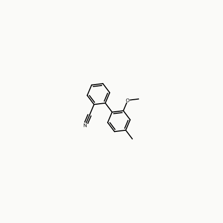 COc1cc(C)ccc1-c1ccccc1C#N